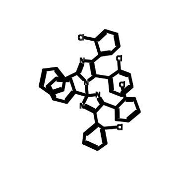 Clc1ccccc1C1=NC(c2ccccc2)(n2c(-c3ccccc3)nc(-c3ccccc3Cl)c2-c2ccccc2Cl)N=C1c1ccccc1Cl